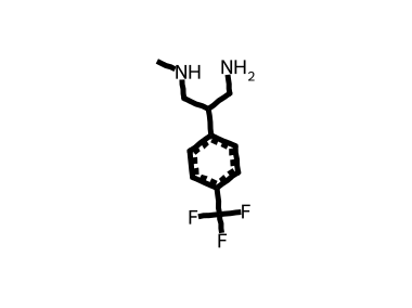 CNCC(CN)c1ccc(C(F)(F)F)cc1